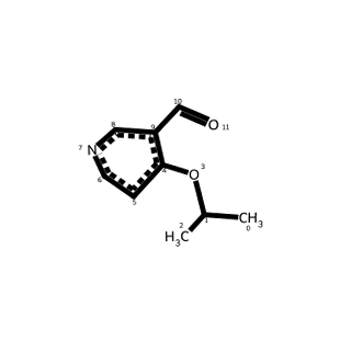 CC(C)Oc1ccncc1C=O